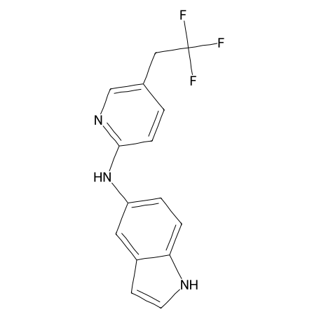 FC(F)(F)Cc1ccc(Nc2ccc3[nH]ccc3c2)nc1